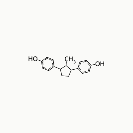 CC1C(c2ccc(O)cc2)CCC1c1ccc(O)cc1